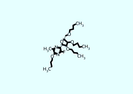 CCCCOC[C@H]1O[C@@H](c2nc(C)c(OCCCC)nc2F)[C@@H](OCCCC)C1OCCCC